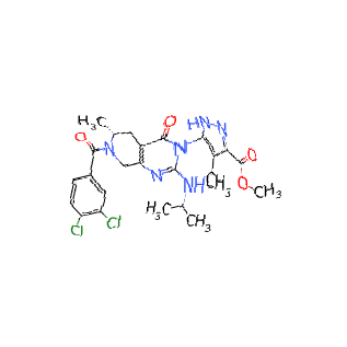 COC(=O)c1n[nH]c(-n2c(NC(C)C)nc3c(c2=O)C[C@@H](C)N(C(=O)c2ccc(Cl)c(Cl)c2)C3)c1C